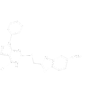 COc1ccc2oc(CSc3nc4c(cnn4-c4ccccc4)c(=O)[nH]3)nc2c1